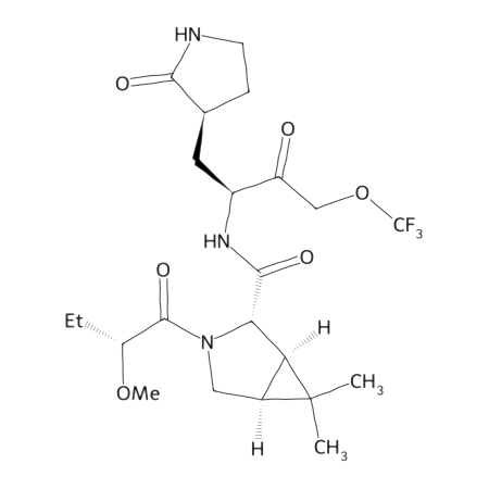 CC[C@@H](OC)C(=O)N1C[C@H]2[C@@H]([C@H]1C(=O)N[C@@H](C[C@@H]1CCNC1=O)C(=O)COC(F)(F)F)C2(C)C